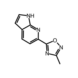 Cc1noc(-c2ccc3cc[nH]c3n2)n1